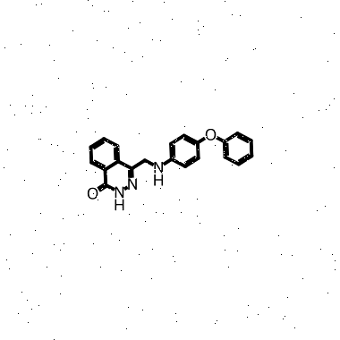 O=c1[nH]nc(CNc2ccc(Oc3ccccc3)cc2)c2ccccc12